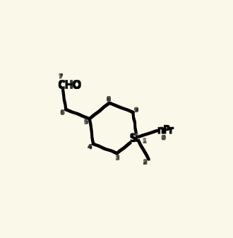 CCC[Si]1(C)CCC(CC=O)CC1